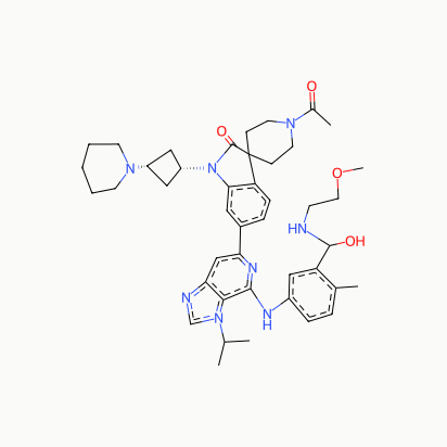 COCCNC(O)c1cc(Nc2nc(-c3ccc4c(c3)N([C@H]3C[C@@H](N5CCCCC5)C3)C(=O)C43CCN(C(C)=O)CC3)cc3ncn(C(C)C)c23)ccc1C